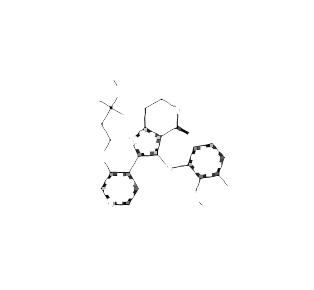 COc1c(F)cccc1Nc1c(-c2ccncc2OCCC(C)(C)OC)[nH]c2c1C(=O)NCC2